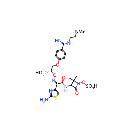 CNCCNC(=N)c1ccc(OC[C@H](O/N=C(\C(=O)N[C@@H]2C(=O)N(OS(=O)(=O)O)C2(C)C)c2csc(N)n2)C(=O)O)cc1